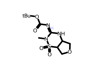 CN1/C(=N\C(=O)OC(C)(C)C)NC2COCC2S1(=O)=O